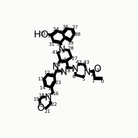 C=CC(=O)N1CCN(c2nc(-c3cccc(CN4CCOCC4)c3)nc3c2CCN(c2cc(O)cc4ccccc24)C3)CC1